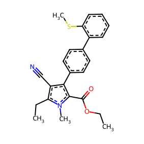 CCOC(=O)c1c(-c2ccc(-c3ccccc3SC)cc2)c(C#N)c(CC)n1C